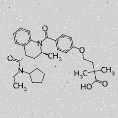 CCN(C(=O)[C@H]1C[C@H](C)N(C(=O)c2ccc(OCCC(C)(C)C(=O)O)cc2)c2ccccc21)C1CCCC1